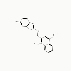 COc1cc(CNc2nc3ccc(Cl)cc3o2)c(OC)c2ccccc12